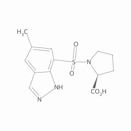 Cc1cc(S(=O)(=O)N2CCC[C@H]2C(=O)O)c2[nH]ncc2c1